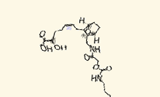 CCCCNC(=O)OCC(=O)NC[C@H]1C(C/C=C\CC[C@@H](O)C(=O)O)[C@H]2CC[C@@H]1O2